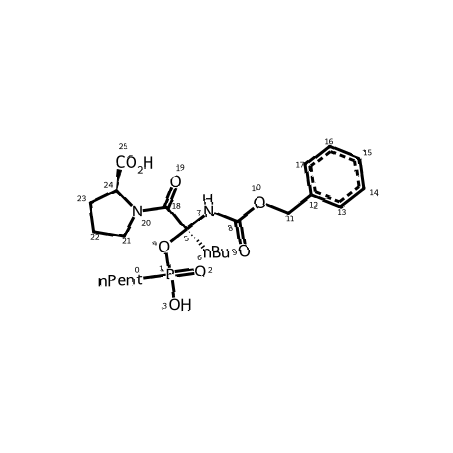 CCCCCP(=O)(O)O[C@](CCCC)(NC(=O)OCc1ccccc1)C(=O)N1CCC[C@H]1C(=O)O